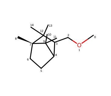 COCC1C2CC[C@@](C)(C2(C)C)C1(C)C